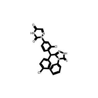 O=c1cnn(-c2ccc(C(c3ccc(Cl)cc3)c3n[nH]c(=S)n3-c3ccccc3)c(Cl)c2)c(=O)[nH]1